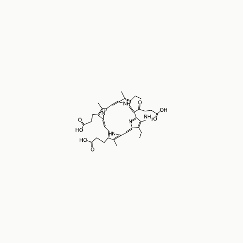 CCC1=C(C)c2nc1cc1[nH]c(cc3nc(cc4[nH]c(c(CC)c4C)c2C(=O)[C@@H](N)CC(=O)O)C(C)=C3CCC(=O)O)c(CCC(=O)O)c1C